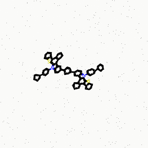 c1ccc(-c2ccc(-n3c4ccc(-c5ccc(-c6ccc7c(c6)c6c8ccccc8c8c9ccccc9sc8c6n7-c6ccc(-c7ccccc7)cc6)cc5)cc4c4c5ccccc5c5c6ccccc6sc5c43)cc2)cc1